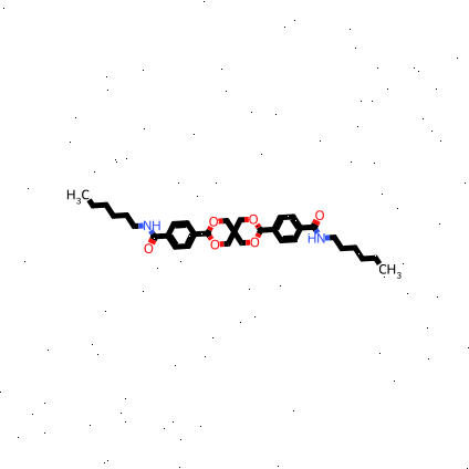 CCCCCCNC(=O)c1ccc(C2OCC3(CO2)COC(c2ccc(C(=O)NCCCCCC)cc2)OC3)cc1